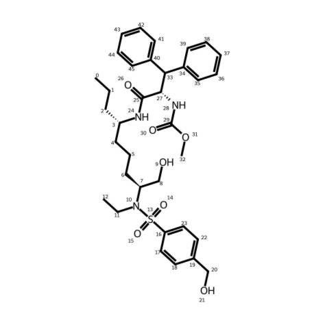 CCC[C@@H](CCC[C@@H](CO)N(CC)S(=O)(=O)c1ccc(CO)cc1)NC(=O)[C@@H](NC(=O)OC)C(c1ccccc1)c1ccccc1